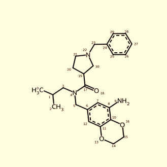 CC(C)CN(Cc1cc(N)c2c(c1)OCCO2)C(=O)C1CCN(Cc2ccccc2)C1